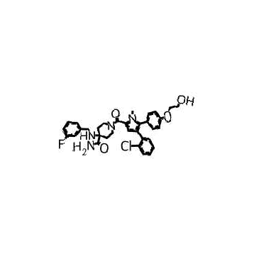 Cn1c(C(=O)N2CCC(NCc3cccc(F)c3)(C(N)=O)CC2)cc(-c2ccccc2Cl)c1-c1ccc(OCCO)cc1